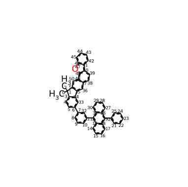 CC1(C)c2ccc(-c3cccc(-c4c5ccccc5c(-c5ccccc5)c5ccccc45)c3)cc2-c2cc3ccc4c5ccccc5oc4c3cc21